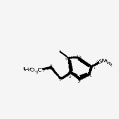 CSc1ccc(CCC(=O)O)c(C)c1